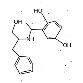 CC(NC(CO)Cc1ccccc1)c1cc(O)ccc1O